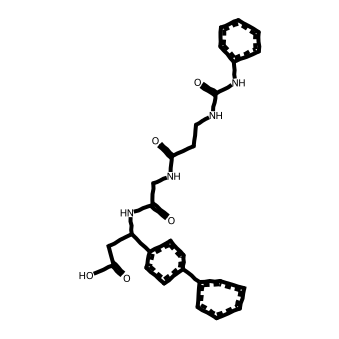 O=C(O)CC(NC(=O)CNC(=O)CCNC(=O)Nc1ccccc1)c1ccc(-c2ccccc2)cc1